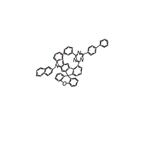 c1ccc(-c2ccc(-c3nc(-c4ccccc4)nc(-c4cccc5c4-c4cc6c7ccccc7n(-c7ccc8ccccc8c7)c6cc4C54c5ccccc5Oc5ccccc54)n3)cc2)cc1